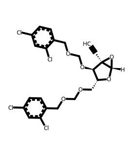 C#C[C@]12O[C@@H]1O[C@H](COCOCc1ccc(Cl)cc1Cl)[C@H]2OCOCc1ccc(Cl)cc1Cl